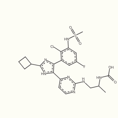 CC(CNc1nccc(-c2[nH]c(C3CCC3)nc2-c2cc(F)cc(NS(C)(=O)=O)c2Cl)n1)NC(=O)O